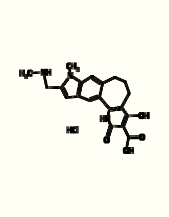 CNCc1cc2cc3c(cc2n1C)CCCc1c-3[nH]c(=O)c(C(=O)O)c1O.Cl